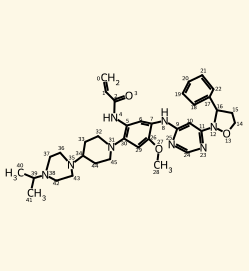 C=CC(=O)Nc1cc(Nc2cc(N3OCCC3c3ccccc3)ncn2)c(OC)cc1N1CCC(N2CCN(C(C)C)CC2)CC1